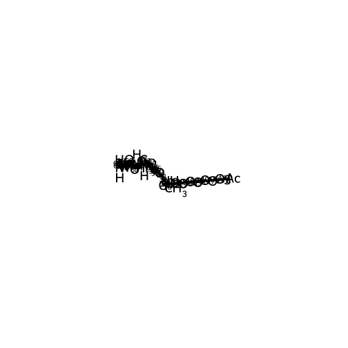 CC(=O)SCCOCCOCCOCCOCCOCCOCCOCO[C@@H](C)C(=O)NCCCOc1ccc(NC(=O)C(CC(=O)O)NC(=O)CNC(=O)c2cccc(N=C3N=CCCN3)c2)cc1